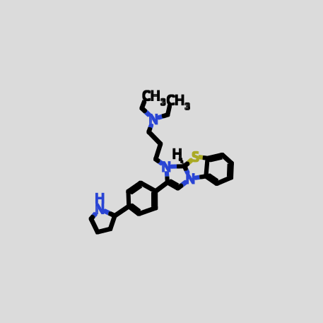 CCN(CC)CCCN1C(c2ccc(C3CCCN3)cc2)=CN2c3ccccc3S[C@H]12